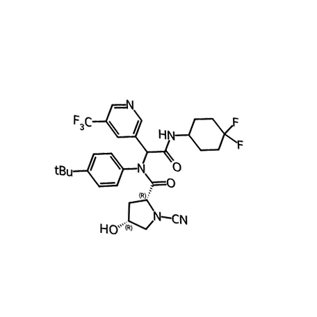 CC(C)(C)c1ccc(N(C(=O)[C@H]2C[C@@H](O)CN2C#N)C(C(=O)NC2CCC(F)(F)CC2)c2cncc(C(F)(F)F)c2)cc1